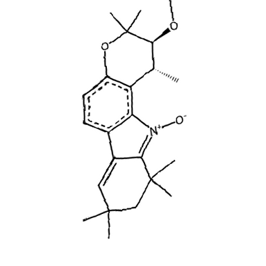 CO[C@H]1[C@H](C)c2c(ccc3c2[N+]([O-])=C2C3=CC(C)(C)CC2(C)C)OC1(C)C